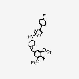 CCOc1cc(CN2CCC(Nc3nc(-c4ccc(F)cc4)co3)CC2)cc(OCC)c1F